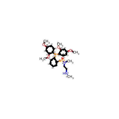 CNCCN(C)[PH](=O)c1ccccc1P(c1ccc(OC)cc1OC)c1ccc(OC)cc1OC